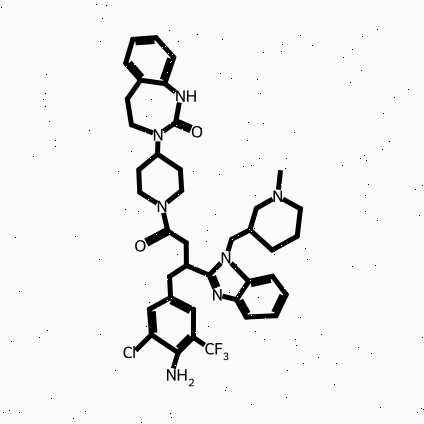 CN1CCCC(Cn2c(C(CC(=O)N3CCC(N4CCc5ccccc5NC4=O)CC3)Cc3cc(Cl)c(N)c(C(F)(F)F)c3)nc3ccccc32)C1